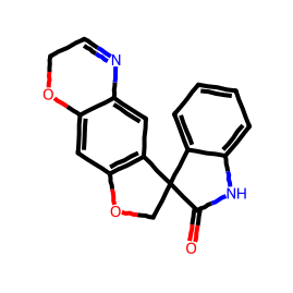 O=C1Nc2ccccc2C12COc1cc3c(cc12)N=CCO3